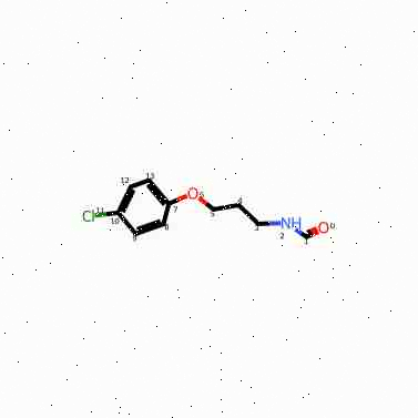 O=CNCCCOc1ccc(Cl)cc1